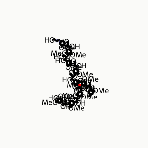 COc1cc(C)ccc1OC(CO)C(O)c1cc(OC)c(Oc2cc(C(O)C(CO)Oc3ccc(C(O)C(CO)Oc4ccc(C(O)C(CO)Oc5c(OC)cc(C(O)C(CO)Oc6ccc(/C=C/CO)cc6OC)cc5OC)cc4OC)cc3OC)cc(OC)c2OC(CO)C(O)c2cc(OC)c(OC(CO)C(O)c3cc(OC)c(OC(CO)C(O)c4cc(OC)c(O)c(OC)c4)c(OC)c3)c(OC)c2)c(OC)c1